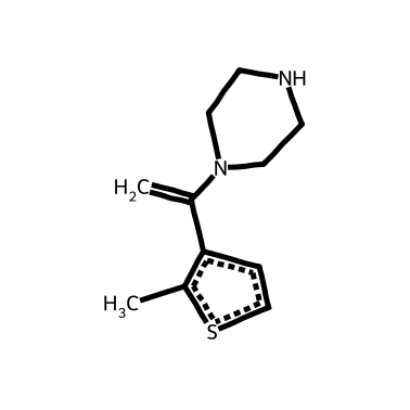 C=C(c1ccsc1C)N1CCNCC1